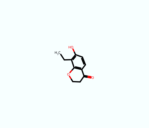 CCc1c(O)ccc2c1OCCC2=O